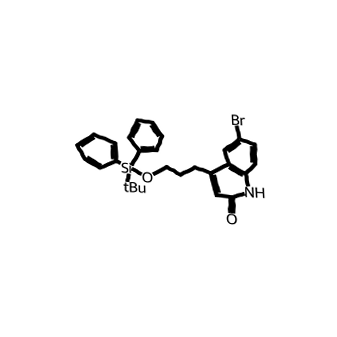 CC(C)(C)[Si](OCCCc1cc(=O)[nH]c2ccc(Br)cc12)(c1ccccc1)c1ccccc1